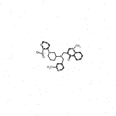 Cc1cc(CN(Cc2cn(C)c3ccccc3c2=O)C2CCCN(c3cccnc3[N+](=O)[O-])C2)ccn1